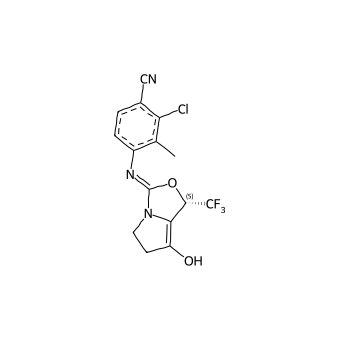 Cc1c(N=C2O[C@H](C(F)(F)F)C3=C(O)CCN23)ccc(C#N)c1Cl